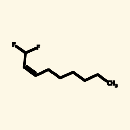 CCCCCC/C=C\C(F)F